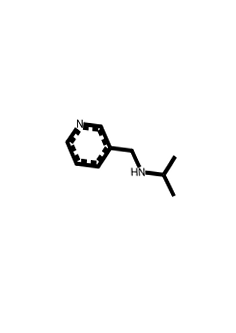 CC(C)NCc1cccnc1